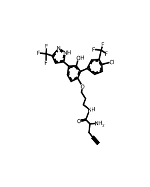 C#CCC(N)C(=O)NCCCOc1ccc(-c2cc(C(F)(F)F)n[nH]2)c(O)c1-c1ccc(Cl)c(C(F)(F)F)c1